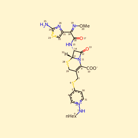 CCCCCCN[n+]1ccc(SCC2=C(C(=O)[O-])N3C(=O)[C@@H](NC(=O)/C(=N\OC)c4csc(N)n4)[C@H]3SC2)cc1